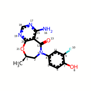 C[C@@H]1CN(c2ccc(O)c(F)c2)C(=O)c2c(N)ncnc2O1